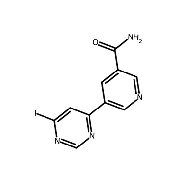 NC(=O)c1cncc(-c2cc(I)ncn2)c1